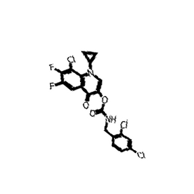 O=C(NCc1ccc(Cl)cc1Cl)Oc1cn(C2CC2)c2c(Cl)c(F)c(F)cc2c1=O